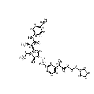 CCN1C(=O)[C@@H](CNc2cccc(C(=O)NCCCN3CCCC3)c2)S/C1=C(/N)C(=O)Nc1ccc(C#N)cc1